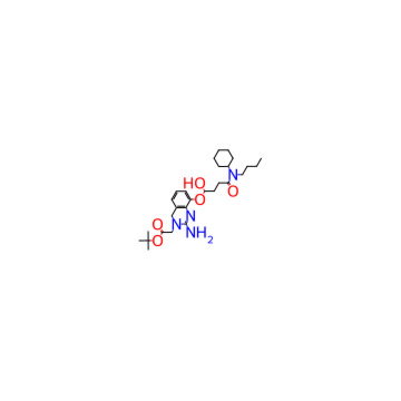 CCCCN(C(=O)CCC(O)Oc1cccc2c1N=C(N)N(CC(=O)OC(C)(C)C)C2)C1CCCCC1